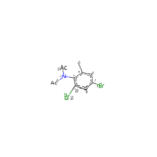 CC(=O)N(C(C)=O)c1c(C)cc(Br)cc1Br